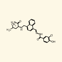 CC(C)CC(NCc1ccc(C=NNC(=O)c2ccc(O)c(Cl)c2)c2ccccc12)C(N)=O